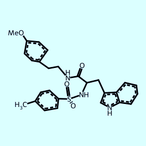 COc1ccc(CCNC(=O)C(Cc2c[nH]c3ccccc23)NS(=O)(=O)c2ccc(C)cc2)cc1